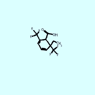 CCC1(C(F)(F)F)C=CC=C(C(F)(F)F)C1C(=O)O